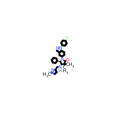 Cn1ccc(CNC2[C@@H](c3ccccc3)N(c3ccc4c(cnn4-c4ccc(F)cc4)c3)C(=O)C2(C)C)n1